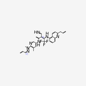 C=C/C=N\N(C)c1ncc(NC(=C)/C(C=N)=C(/Nc2cccc3nc(CC=C)ccc23)C(F)(F)F)cc1C